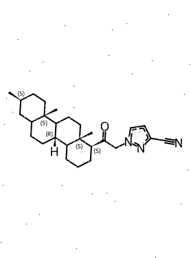 C[C@H]1CC[C@@]2(C)C(CC[C@@H]3C2CC[C@@]2(C)C3CCC[C@@H]2C(=O)Cn2ccc(C#N)n2)C1